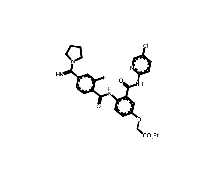 CCOC(=O)COc1ccc(NC(=O)c2ccc(C(=N)N3CCCC3)cc2F)c(C(=O)Nc2ccc(Cl)cn2)c1